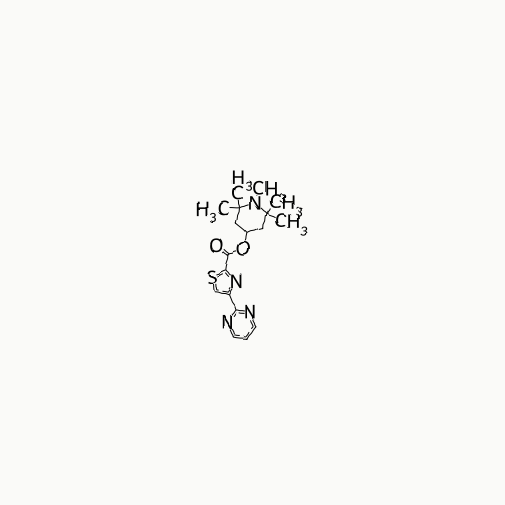 CN1C(C)(C)CC(OC(=O)c2nc(-c3ncccn3)cs2)CC1(C)C